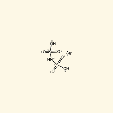 O=S(=O)(O)NS(=O)(=O)O.[Ag]